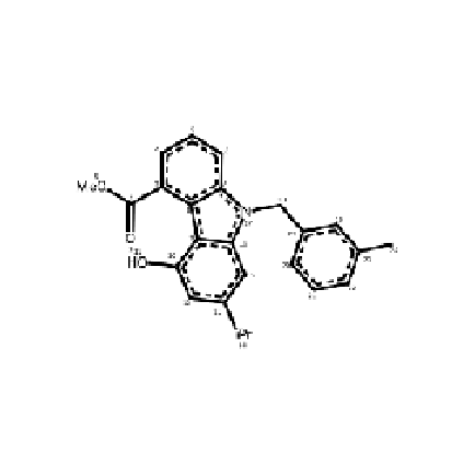 COC(=O)c1cccc2c1c1c(O)cc(C(C)C)cc1n2Cc1cccc(C)c1